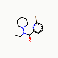 CCN(C(=O)c1cccc(Br)n1)N1CCCCC1